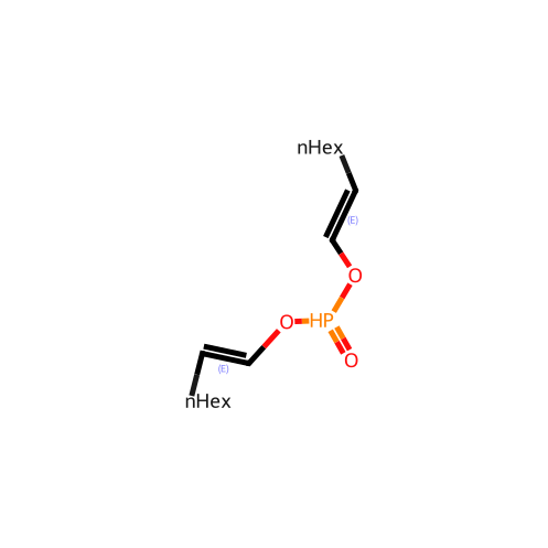 CCCCCC/C=C/O[PH](=O)O/C=C/CCCCCC